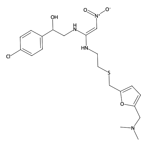 CN(C)Cc1ccc(CSCCN/C(=C/[N+](=O)[O-])NCC(O)c2ccc(Cl)cc2)o1